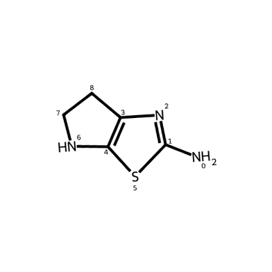 Nc1nc2c(s1)NCC2